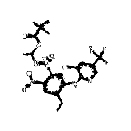 CCc1cc([N+](=O)[O-])c([PH](=O)OC(C)OC(=O)C(C)(C)C)cc1Oc1ncc(C(F)(F)F)cc1Cl